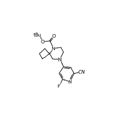 CC(C)(C)OC(=O)N1CCN(c2cc(F)nc(C#N)c2)CC12CCC2